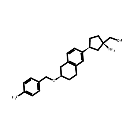 Cc1ccc(CO[C@@H]2CCc3cc([C@H]4CC[C@](N)(CO)C4)ccc3C2)cc1